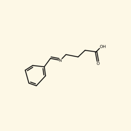 O=C(O)CCCN=Cc1ccccc1